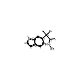 CCNC(C)C(C)(F)c1ccc2ccsc2c1